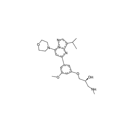 CNC[C@H](O)COc1cc(OC)cc(-c2cc(N3CCOCC3)n3ncc(C(C)C)c3n2)c1